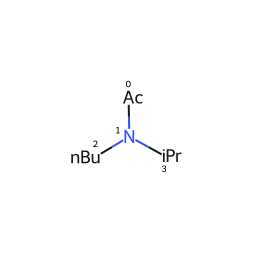 [CH2]C(=O)N(CCCC)C(C)C